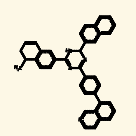 CC1CC=Cc2cc(C3=NC(c4ccc(-c5cccc6ccncc56)cc4)=NC(c4ccc5ccccc5c4)N3)ccc21